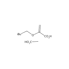 C=C(OCC(C)CC)C(=O)O.CC(=O)O